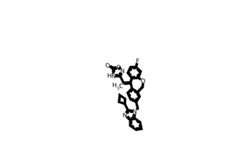 CC(=C1c2ccc(Cn3c(C4CCC4)nc4ccccc43)cc2COc2cc(F)ccc21)c1noc(=O)[nH]1